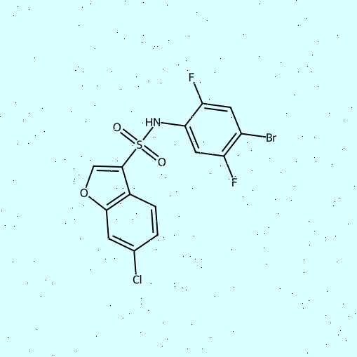 O=S(=O)(Nc1cc(F)c(Br)cc1F)c1coc2cc(Cl)ccc12